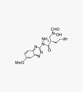 COc1ccc2nc(N(N)C(=O)[C@H](CCC(C)C)CN(O)C=O)nnc2c1